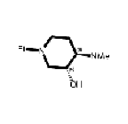 CCN1CC[C@@H](NC)[C@H](O)C1